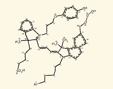 CC(=O)CCCCCN1/C(=C/C=C/C2=[N+](CCCOc3ccc(O)cc3)c3ccccc3C2(C)CCCCS(=O)(=O)O)C(C)(C)c2c1ccc1ccc(SOOO)cc21